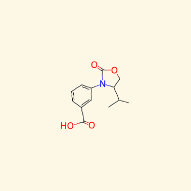 CC(C)C1COC(=O)N1c1cccc(C(=O)O)c1